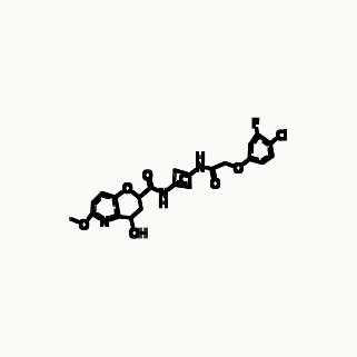 COc1ccc2c(n1)C(O)CC(C(=O)NC13CC(NC(=O)COc4ccc(Cl)c(F)c4)(C1)C3)O2